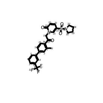 Cc1cc(-c2cccc(C(F)(F)F)c2)ccc1C(=O)Cn1cc(S(=O)(=O)N2CCCC2)ccc1=O